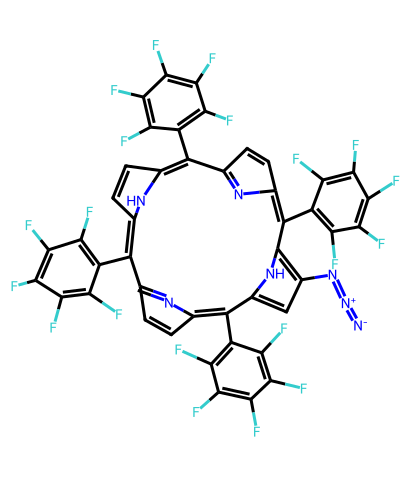 [N-]=[N+]=Nc1cc2[nH]c1c(-c1c(F)c(F)c(F)c(F)c1F)c1nc(c(-c3c(F)c(F)c(F)c(F)c3F)c3ccc([nH]3)c(-c3c(F)c(F)c(F)c(F)c3F)c3nc(c2-c2c(F)c(F)c(F)c(F)c2F)C=C3)C=C1